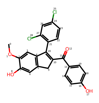 COc1cc2c(cc1O)CC(C(=O)c1ccc(O)cc1)=C2c1ccc(Cl)cc1Cl